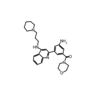 Nc1cc(C(=O)N2CCOCC2)cc(-c2cc(NCCCN3CCCCC3)c3ccccc3n2)c1